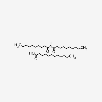 CCCCCCCCCC(=O)NC(=O)CCCCCCCCC.CCCCCCCCCCCC(=O)O